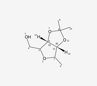 CC1OC(CO)[C@@H]2OC(C)(C)O[C@H]12